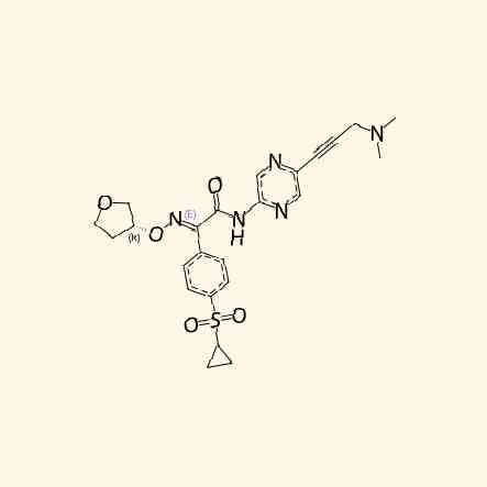 CN(C)CC#Cc1cnc(NC(=O)/C(=N/O[C@@H]2CCOC2)c2ccc(S(=O)(=O)C3CC3)cc2)cn1